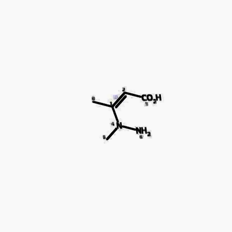 C/C(=C/C(=O)O)N(C)N